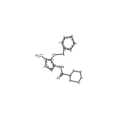 Cn1ncc(NC(=O)C2CCCCC2)c1SCc1ccccc1